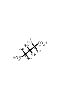 [2H]C([2H])(C(=O)O)C([2H])([2H])C([2H])(O)C(=O)O